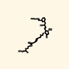 CCCCCCCC(=O)OCCOC(=O)CCCSCC[C@H]1C(=O)C[C@@H](O)[C@@H]1/C=C/[C@@H](O)Cc1cccc(COC)c1